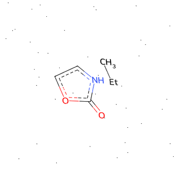 CCC.O=c1[nH]cco1